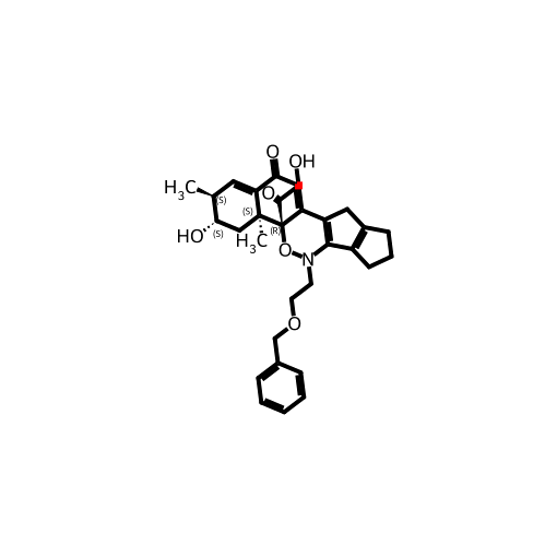 C[C@H]1C=C2C(=O)C=C3C4=C(C5=C(CCC5)C4)N(CCOCc4ccccc4)O[C@]3(C(=O)CO)[C@@]2(C)C[C@@H]1O